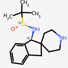 CC(C)(C)[S@@+]([O-])N[C@@H]1c2ccccc2CC12CCNCC2